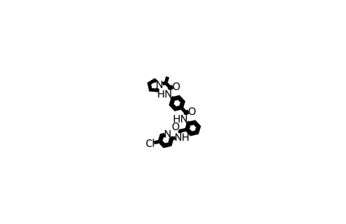 CC(C(=O)Nc1ccc(C(=O)Nc2ccccc2C(=O)Nc2ccc(Cl)cn2)cc1)N1CCCC1